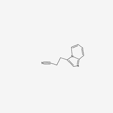 N#CCCc1cnc2ccccn12